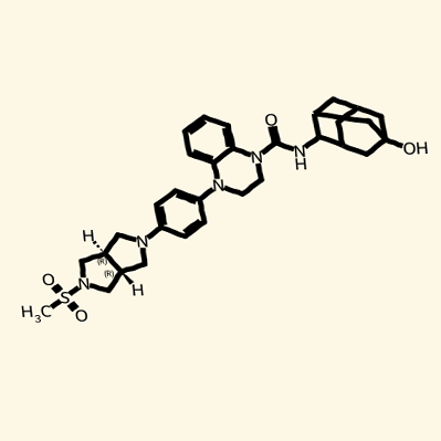 CS(=O)(=O)N1C[C@H]2CN(c3ccc(N4CCN(C(=O)NC5C6CC7CC5CC(O)(C7)C6)c5ccccc54)cc3)C[C@@H]2C1